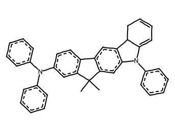 CC1(C)c2cc(N(c3ccccc3)c3ccccc3)ccc2-c2cc3c(cc21)N(c1ccccc1)C1=CC=CCC13